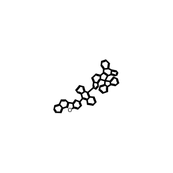 c1ccc2c(c1)-c1ccccc1C21c2c(ccc3cc(-c4c5ccccc5c(-c5ccc6oc7c8ccccc8ccc7c6c5)c5ccccc45)ccc23)-c2c1c1ccccc1c1ccccc21